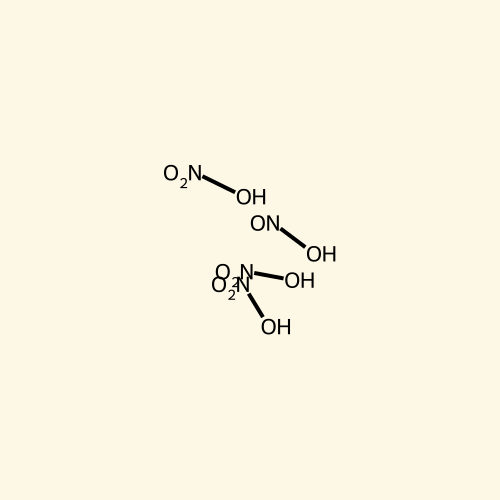 O=NO.O=[N+]([O-])O.O=[N+]([O-])O.O=[N+]([O-])O